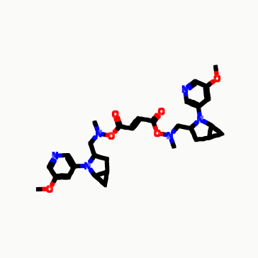 COc1cncc(N2C(CN(C)OC(=O)/C=C/C(=O)ON(C)CC3CC4CC4N3c3cncc(OC)c3)CC3CC32)c1